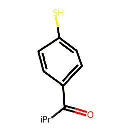 CC(C)C(=O)c1ccc(S)cc1